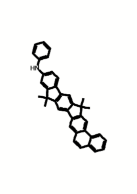 CC1(C)c2cc(Nc3ccccc3)ccc2-c2cc3c(cc21)-c1cc2ccc4ccccc4c2cc1C3(C)C